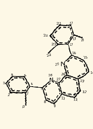 Cc1ccccc1-c1ccc2ccc3ccc(-c4c(C)cccc4C)nc3c2n1